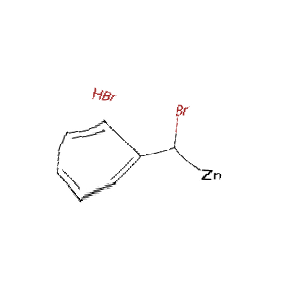 Br.[Zn][CH](Br)c1ccccc1